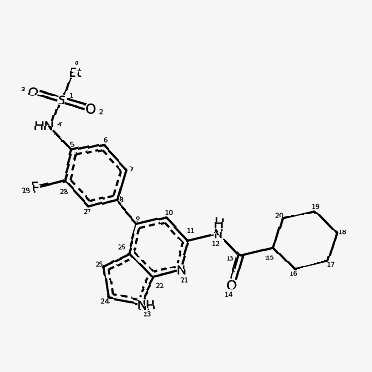 CCS(=O)(=O)Nc1ccc(-c2cc(NC(=O)C3CCCCC3)nc3[nH]ccc23)cc1F